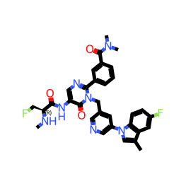 CN[C@@H](CF)C(=O)Nc1cnc(-c2cccc(C(=O)N(C)C)c2)n(Cc2cncc(-n3cc(C)c4cc(F)ccc43)c2)c1=O